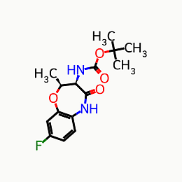 C[C@@H]1Oc2cc(F)ccc2NC(=O)[C@@H]1NC(=O)OC(C)(C)C